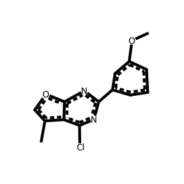 COc1cccc(-c2nc(Cl)c3c(C)coc3n2)c1